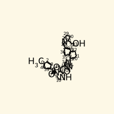 Cc1ccc(S(=O)(=O)N2CCNC(=O)C2Cc2cn([C@@H]3CCCc4cc(CN5CCCC5CO)ccc43)nn2)cc1